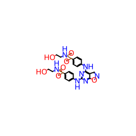 O=S(=O)(NCCO)c1ccc(Nc2nc(Nc3ccc(S(=O)(=O)NCCO)cc3)c3cnoc3n2)cc1